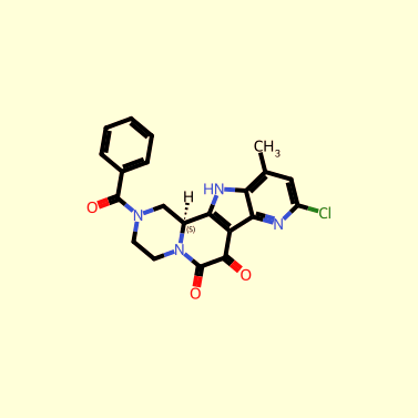 Cc1cc(Cl)nc2c3c([nH]c12)[C@@H]1CN(C(=O)c2ccccc2)CCN1C(=O)C3=O